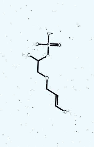 CC=CCOCC(C)OP(=O)(O)O